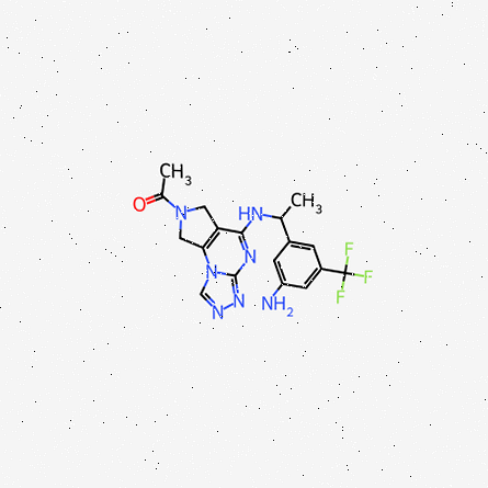 CC(=O)N1Cc2c(NC(C)c3cc(N)cc(C(F)(F)F)c3)nc3nncn3c2C1